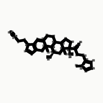 [C-]#[N+]CCn1ncc2c1C=C1CCC3C([C@@H](O)CC4(C)C3CC[C@]4(O)C(=O)CSc3nncn3C)C1(C)C2